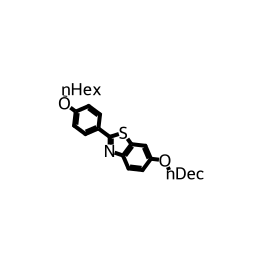 CCCCCCCCCCOc1ccc2nc(-c3ccc(OCCCCCC)cc3)sc2c1